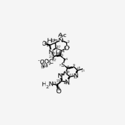 CC(=O)N1COC2C(CSc3cc(C)nc4nc(C(N)=O)nn34)=C(C(=O)[O-])N3C(=O)[C@@H]1[C@@H]23.[Na+]